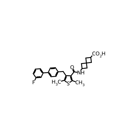 Cc1sc(C)c(C(=O)NC2CC3(C2)CC(C(=O)O)C3)c1Cc1ccc(-c2cccc(F)c2)cc1